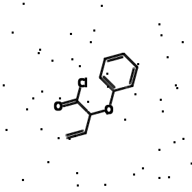 C=CC(Oc1ccccc1)C(=O)Cl